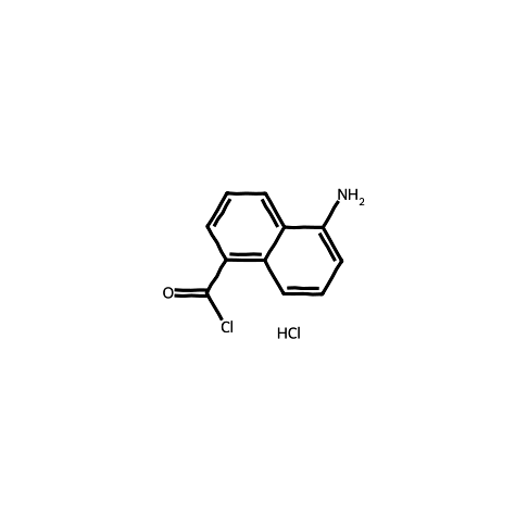 Cl.Nc1cccc2c(C(=O)Cl)cccc12